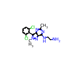 Cc1nc(NCCN)c2nn(C)c(-c3c(Cl)cccc3Cl)c2n1